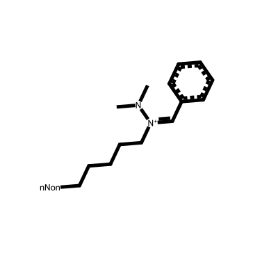 CCCCCCCCCCCCCC[N+](=Cc1ccccc1)N(C)C